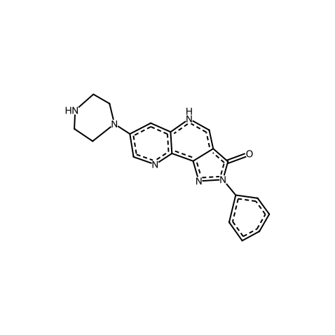 O=c1c2c[nH]c3cc(N4CCNCC4)cnc3c-2nn1-c1ccccc1